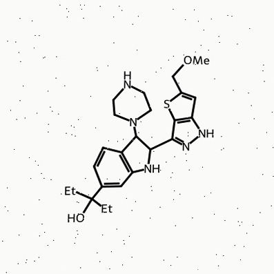 CCC(O)(CC)c1ccc2c(c1)NC(c1n[nH]c3cc(COC)sc13)C2N1CCNCC1